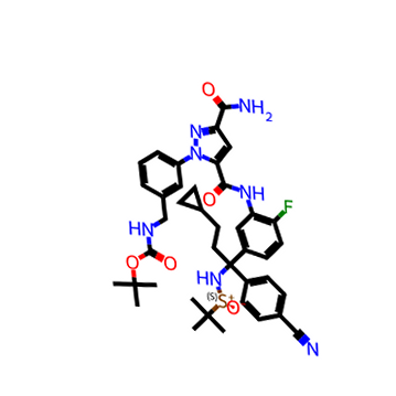 CC(C)(C)OC(=O)NCc1cccc(-n2nc(C(N)=O)cc2C(=O)Nc2cc(C(CCC3CC3)(N[S@+]([O-])C(C)(C)C)c3ccc(C#N)cc3)ccc2F)c1